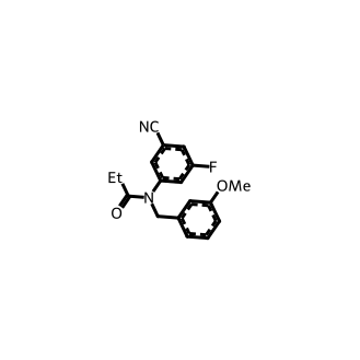 CCC(=O)N(Cc1cccc(OC)c1)c1cc(F)cc(C#N)c1